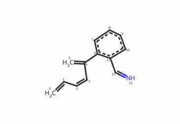 C=C/C=C\C(=C)c1ccccc1C=N